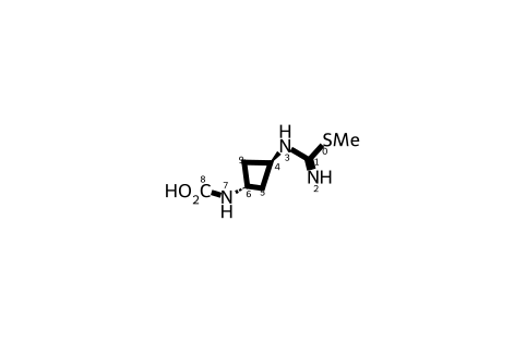 CSC(=N)N[C@H]1C[C@H](NC(=O)O)C1